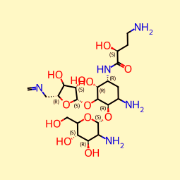 C=NC[C@H]1O[C@@H](OC2[C@H](O[C@H]3OC(CO)[C@@H](O)[C@H](O)C3N)C(N)C[C@@H](NC(=O)[C@@H](O)CCN)[C@H]2O)[C@@H](O)C1O